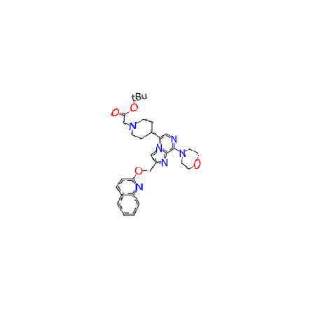 CC(C)(C)OC(=O)CN1CCC(c2cnc(N3CCOCC3)c3nc(COc4ccc5ccccc5n4)cn23)CC1